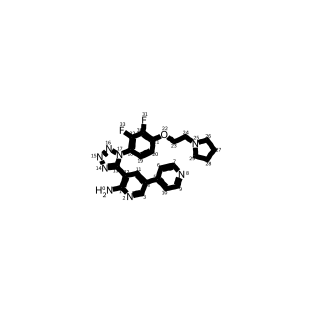 Nc1ncc(-c2ccncc2)cc1-c1nnnn1-c1ccc(OCCN2CCCC2)c(F)c1F